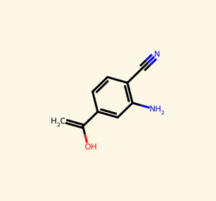 C=C(O)c1ccc(C#N)c(N)c1